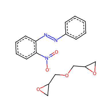 C(OCC1CO1)C1CO1.O=[N+]([O-])c1ccccc1N=Nc1ccccc1